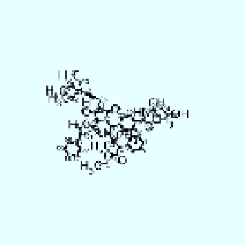 CCOC(=O)C(c1ccccc1)C(C)(C)CC(c1ccc(C(=O)NC(C)(C)CCO)cc1)C1C(=O)N(CC#C[Si](CC)(CC)CC)C(O)C1C(C)(C)SC(=S)c1ccccc1